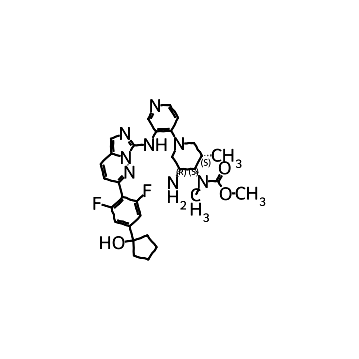 COC(=O)N(C)[C@@H]1[C@H](N)CN(c2ccncc2Nc2ncc3ccc(-c4c(F)cc(C5(O)CCCC5)cc4F)nn23)C[C@@H]1C